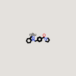 CCCCc1nn(Cc2ccc(C(=O)N3CCCC3)cc2)c2c1CCCC2